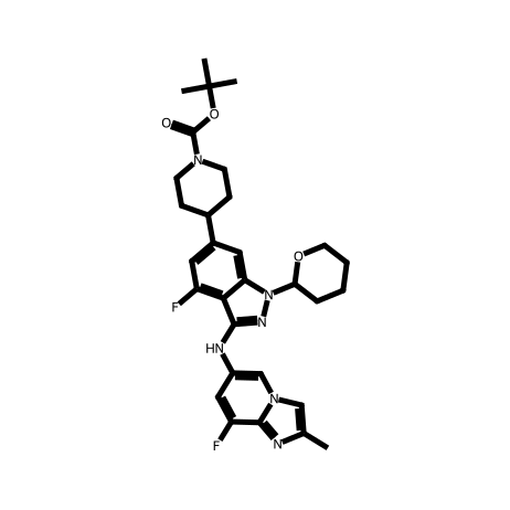 Cc1cn2cc(Nc3nn(C4CCCCO4)c4cc(C5CCN(C(=O)OC(C)(C)C)CC5)cc(F)c34)cc(F)c2n1